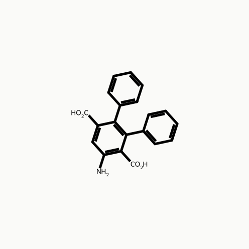 Nc1cc(C(=O)O)c(-c2ccccc2)c(-c2ccccc2)c1C(=O)O